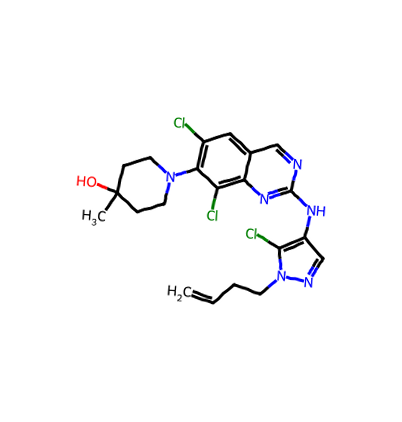 C=CCCn1ncc(Nc2ncc3cc(Cl)c(N4CCC(C)(O)CC4)c(Cl)c3n2)c1Cl